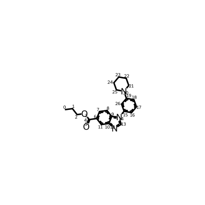 CCCOC(=O)c1ccc2c(c1)ncn2-c1cccc(N2CCCCC2)c1